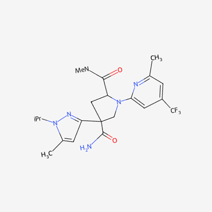 CNC(=O)C1CC(C(N)=O)(c2cc(C)n(C(C)C)n2)CN1c1cc(C(F)(F)F)cc(C)n1